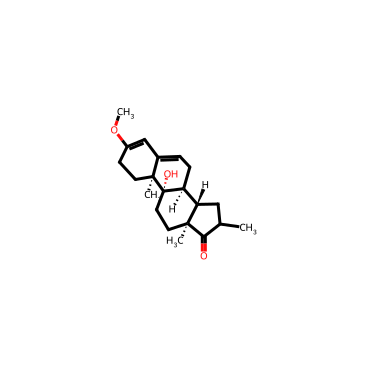 COC1=CC2=CC[C@H]3[C@@H]4CC(C)C(=O)[C@@]4(C)CC[C@@]3(O)[C@@]2(C)CC1